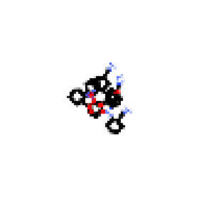 N#Cc1ccc(-n2c3ccccc3c3cccc(-c4ccccc4-c4ccccc4-c4cccc5c4c4cc(C#N)ccc4n5-c4ccccc4C#N)c32)cc1